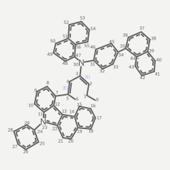 CC/C=C(\C=C(/C)c1cccc2c1c1c3ccccc3ccc1n2-c1ccccc1)N(c1ccc(-c2cccc3ccccc23)cc1)c1cccc2ccccc12